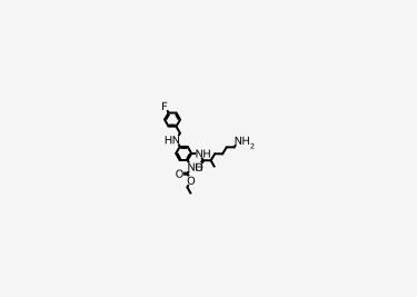 CCOC(=O)Nc1ccc(NCc2ccc(F)cc2)cc1NC(=O)C(C)CCCCN